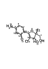 CC[C@]1(CO)OC(n2ccc(N)nc2=O)=C(Cl)[C@@H]1O